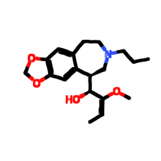 C/C=C(/OC)[C@@H](O)[C@@H]1CN(CCC)CCc2cc3c(cc21)OCO3